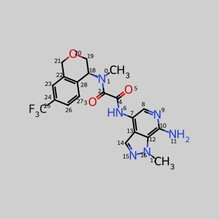 CN(C(=O)C(=O)Nc1cnc(N)c2c1cnn2C)[C@@H]1COCc2cc(C(F)(F)F)ccc21